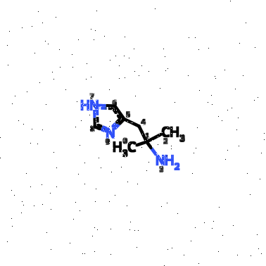 CC(C)(N)Cc1c[nH]cn1